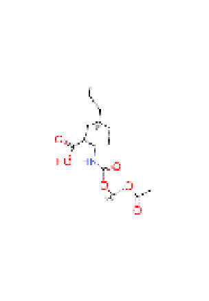 CCC[C@@H](CC)CC(CNC(=O)O[C@@H](C)OC(C)=O)C(=O)O